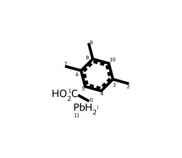 CC(=O)O.Cc1ccc(C)c(C)c1.[PbH2]